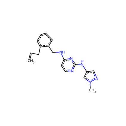 C=CCc1ccccc1CNc1ccnc(Nc2cnn(C)c2)n1